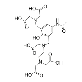 CC(=O)Nc1cc(CN(CCN(CC(=O)O)CC(=O)O)CC(=O)O)c(O)c(CN(CC(=O)O)CC(=O)O)c1